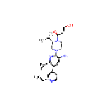 C=Cc1cc(-c2cc(N)c(N3CCN(C(=O)CCO)[C@H](C(C)C)C3)nc2C2CC2)ccn1